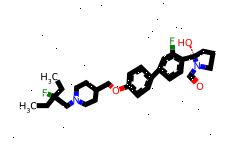 CCC(F)(CC)CN1CCC(COc2ccc(-c3ccc([C@@]4(O)CCCN4C=O)c(F)c3)cc2)CC1